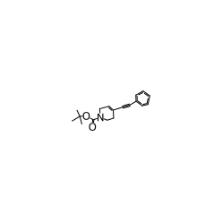 CC(C)(C)OC(=O)N1CC=C(C#Cc2ccccc2)CC1